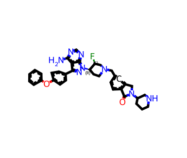 Nc1ncnc2c1c(-c1ccc(Oc3ccccc3)cc1)nn2[C@@H]1CCN(Cc2ccc3c(c2)CN(C2CCCNC2)C3=O)C[C@@H]1F